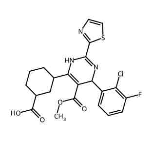 COC(=O)C1=C(C2CCCC(C(=O)O)C2)NC(c2nccs2)=NC1c1cccc(F)c1Cl